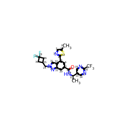 Cc1cnc(-c2cc(C(=O)N[C@H](C)c3cnc(C(F)(F)F)nc3)cc3nn(CC4CC(F)(F)C4)cc23)s1